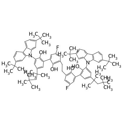 CC(C)(C)CC(C)(C)c1cc(-c2cc(F)cc(CCc3cc(F)cc(-c4cc(C(C)(C)CC(C)(C)C)cc(-n5c6cc(C(C)(C)C)ccc6c6ccc(C(C)(C)C)cc65)c4O)c3O)c2O)c(O)c(-n2c3cc(C(C)(C)C)ccc3c3ccc(C(C)(C)C)cc32)c1